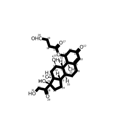 C[C@]12C[C@H](O)[C@H]3[C@@H](CCC4=CC(=O)CC(OC(=O)CCC=O)[C@@]43C)[C@@H]1CC[C@]2(O)C(=O)CO